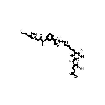 O=C(O)CCC(NC(=O)NC(CCCCNc1nc(-c2cccc(NC(=O)Cn3cc(CCCF)nn3)c2)cs1)C(=O)O)C(=O)O